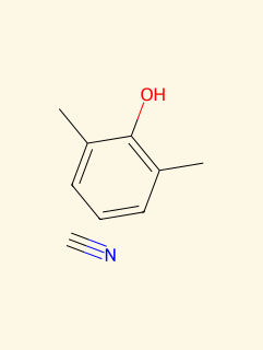 C#N.Cc1cccc(C)c1O